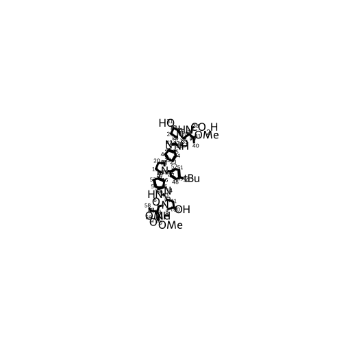 COC(=O)N[C@H](C(=O)N1C[C@@H](O)C[C@H]1c1nc2cc([C@H]3CC[C@H](c4ccc5[nH]c([C@@H]6C[C@H](O)CN6C(=O)[C@@H](NC(=O)O)[C@@H](C)OC)nc5c4)N3c3ccc(C(C)(C)C)cc3)ccc2[nH]1)[C@@H](C)OC